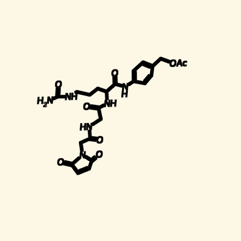 CC(=O)OCc1ccc(NC(=O)C(CCCNC(N)=O)NC(=O)CNC(=O)CN2C(=O)C=CC2=O)cc1